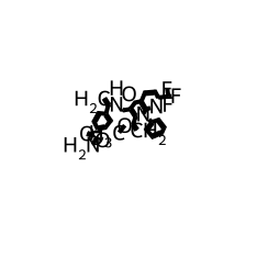 C=C(NCc1c(C(=C)OC)n(-c2ccccc2)c2nc(C(F)(F)F)ccc2c1=O)c1ccc(S(N)(=O)=O)cc1